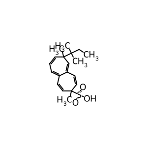 CCC(C)(C)C1(C)C=CC=C2C=CC(C)(S(=O)(=O)O)C=CC2=C1